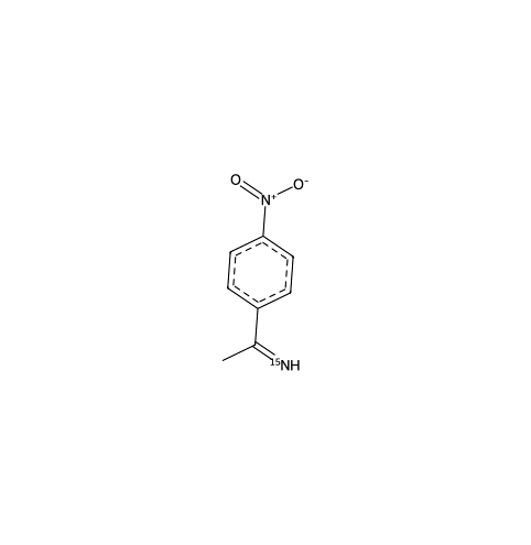 CC(=[15NH])c1ccc([N+](=O)[O-])cc1